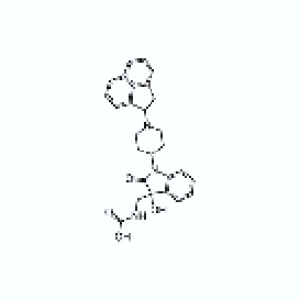 O=C(O)NCC1(O)C(=O)N(C2CCN(C3Cc4cccc5cccc3c45)CC2)c2ccccc21